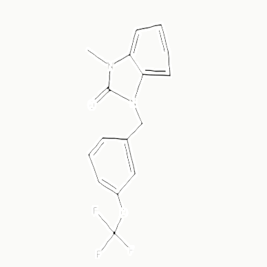 Cn1c(=O)n(Cc2cccc(OC(F)(F)F)c2)c2ccccc21